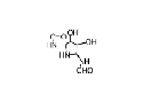 O=CNC1NC(NC=O)C(O)C1O